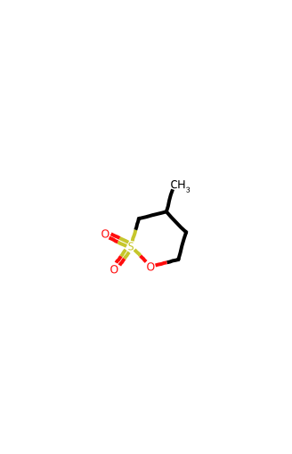 CC1CCOS(=O)(=O)C1